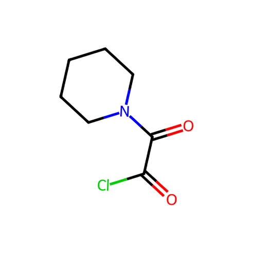 O=C(Cl)C(=O)N1CCCCC1